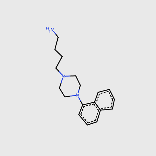 NCCCCN1CCN(c2cccc3ccccc23)CC1